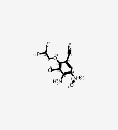 N#Cc1cc([N+](=O)[O-])c(N)c(Cl)c1OCC(F)F